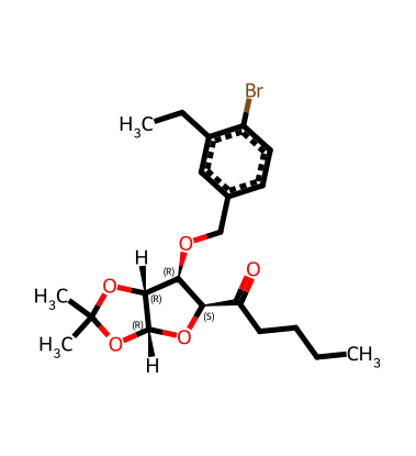 CCCCC(=O)[C@H]1O[C@@H]2OC(C)(C)O[C@@H]2[C@H]1OCc1ccc(Br)c(CC)c1